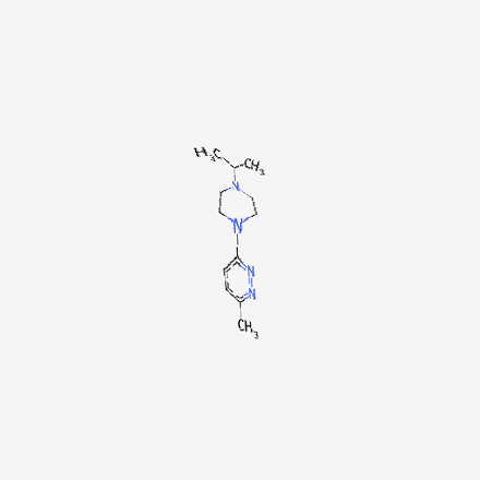 Cc1ccc(N2CCN(C(C)C)CC2)nn1